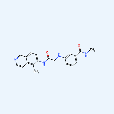 CNC(=O)c1cccc(NCC(=O)Nc2ccc3cnccc3c2C)c1